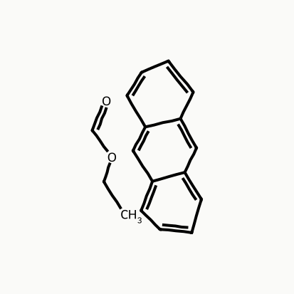 CCOC=O.c1ccc2cc3ccccc3cc2c1